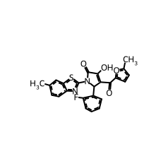 Cc1ccc2nc(N3C(=O)C(O)=C(C(=O)c4ccc(C)o4)C3c3ccccc3F)sc2c1